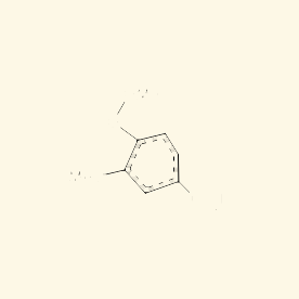 COOc1ccc(C(=O)O)cc1OC